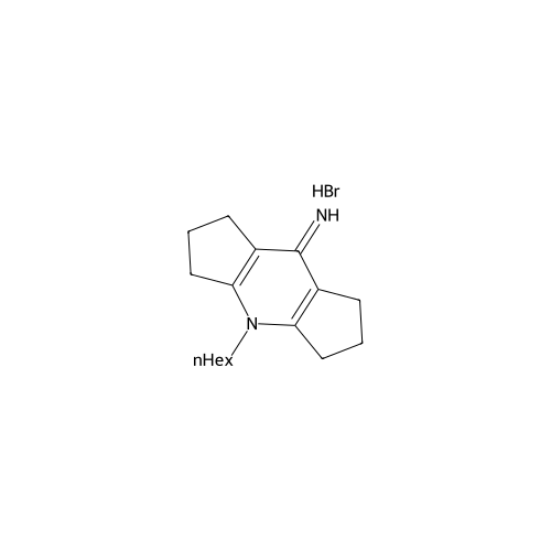 Br.CCCCCCn1c2c(c(=N)c3c1CCC3)CCC2